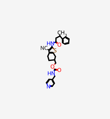 CC(CC(=O)Nc1sc2c(c1C#N)CCC(COC(=O)NCc1ccncc1)C2)c1ccccc1